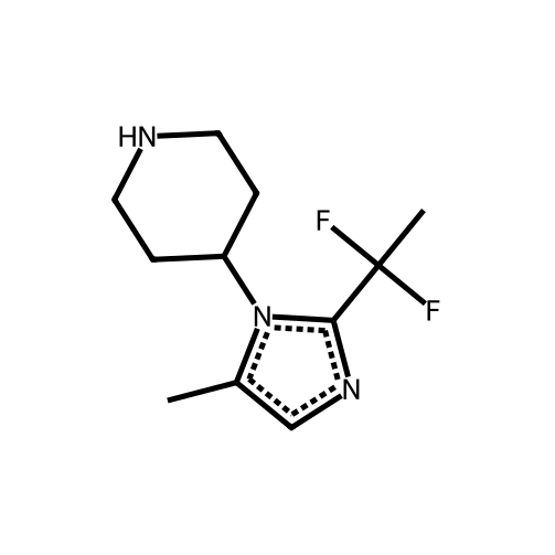 Cc1cnc(C(C)(F)F)n1C1CCNCC1